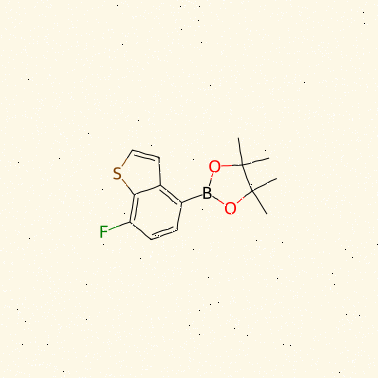 CC1(C)OB(c2ccc(F)c3sccc23)OC1(C)C